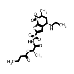 CCCC(=O)O[C@@H](C)C(=O)NS(=O)(=O)c1cc2c(s1)S(=O)(=O)[C@@H](C)C[C@@H]2NCC